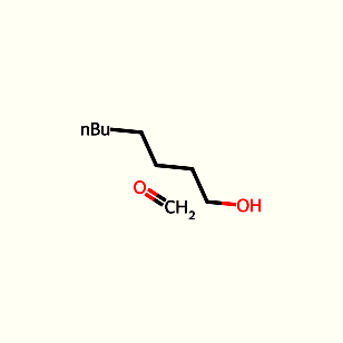 C=O.CCCCCCCCO